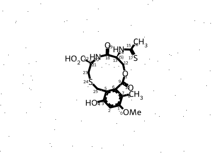 COc1cc(O)c2c(c1C)C(=O)OC[C@H](NC(C)=S)C(=O)N[C@H](C(=O)O)CSC2